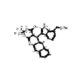 CSCc1cccc2c(C(c3ccc4ccccc4c3)C3C(=O)OC(C)(C)OC3=O)c[nH]c12